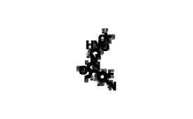 C=Cc1c(OC)cc(N2CCC(NC(=O)OC(C)(C)C)CC2)nc1-c1ccc(C#N)c(F)c1